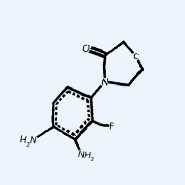 Nc1ccc(N2CCCCC2=O)c(F)c1N